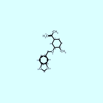 C=C(C)C1CCC(C)C(OCc2ccc3c(c2)OCO3)C1